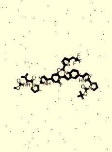 COC(=O)N[C@H](C(=O)N1CCC[C@H]1c1ncc(-c2cc(F)c3c(c2)OC(c2ccc(CC(F)(F)F)s2)n2c-3cc3cc(-c4cnc(C5CCCN5C(=O)OC(C)(C)C)[nH]4)ccc32)[nH]1)C(C)C